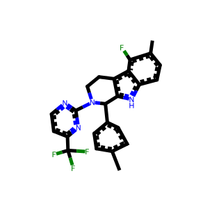 Cc1ccc(C2c3[nH]c4ccc(C)c(F)c4c3CCN2c2nccc(C(F)(F)F)n2)cc1